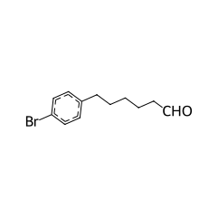 O=CCCCCCc1ccc(Br)cc1